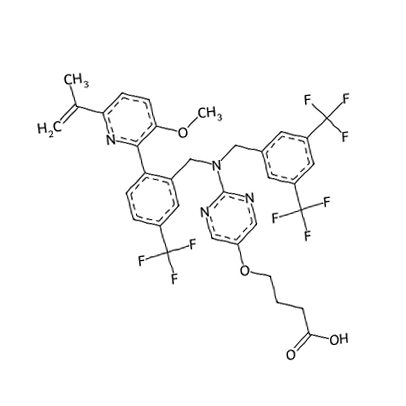 C=C(C)c1ccc(OC)c(-c2ccc(C(F)(F)F)cc2CN(Cc2cc(C(F)(F)F)cc(C(F)(F)F)c2)c2ncc(OCCCC(=O)O)cn2)n1